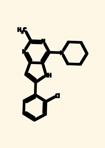 Cc1nc(N2CCCCC2)c2[nH]c(-c3ccccc3Cl)cc2n1